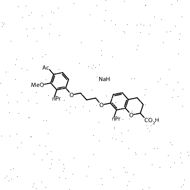 CCCc1c(OCCCOc2ccc(C(C)=O)c(OC)c2CCC)ccc2c1OC(C(=O)O)CC2.[NaH]